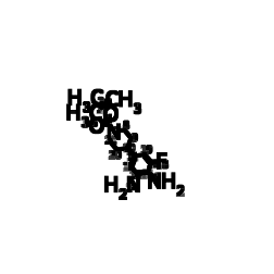 CC(C)(C)OC(=O)N1CCC(c2cc(N)c(N)c(F)c2)CC1